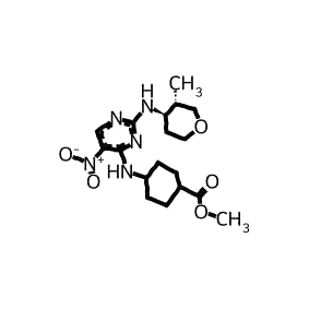 COC(=O)C1CCC(Nc2nc(N[C@@H]3CCOC[C@H]3C)ncc2[N+](=O)[O-])CC1